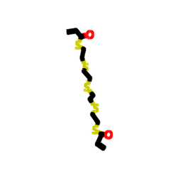 C=CC(=O)SCCSCCSCCSCCSC(=O)C=C